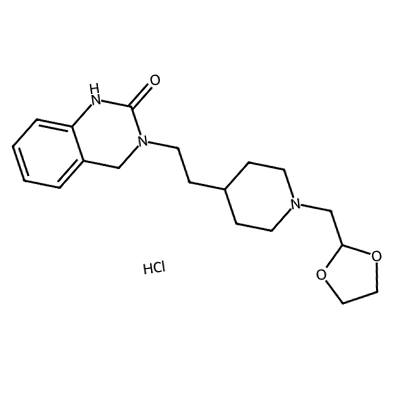 Cl.O=C1Nc2ccccc2CN1CCC1CCN(CC2OCCO2)CC1